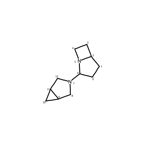 [CH]1CC2CCN2C1N1CC2CC2C1